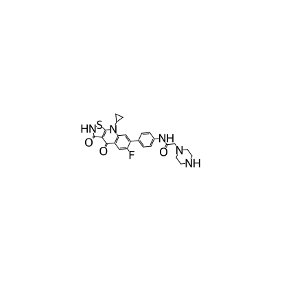 O=C(CN1CCNCC1)Nc1ccc(-c2cc3c(cc2F)c(=O)c2c(=O)[nH]sc2n3C2CC2)cc1